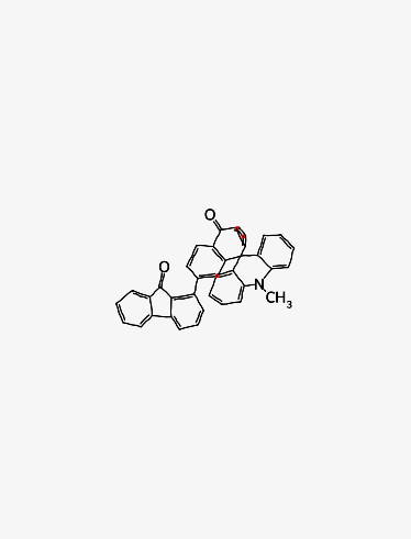 CN1c2ccccc2C2(c3ccccc3C(=O)c3ccc(-c4cccc5c4C(=O)c4ccccc4-5)cc32)c2ccccc21